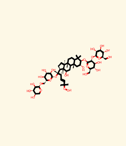 CC(C)(/C=C/C[C@](C)(O[C@@H]1O[C@H](CO[C@@H]2OC[C@@H](O)[C@H](O)[C@H]2O)[C@@H](O)[C@H](O)[C@H]1O)[C@H]1CC[C@]2(C)[C@@H]1[C@H](O)CC1[C@@]3(C)C[C@@H](O)[C@H](O[C@@H]4O[C@H](CO)[C@@H](O)[C@H](O)[C@H]4O[C@@H]4O[C@H](CO)[C@@H](O)[C@H](O)[C@H]4O)C(C)(C)C3CC[C@]12C)OO